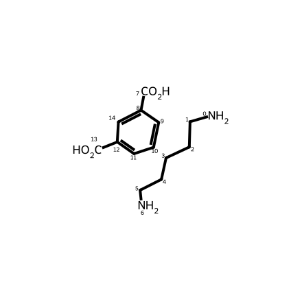 NCCCCCN.O=C(O)c1cccc(C(=O)O)c1